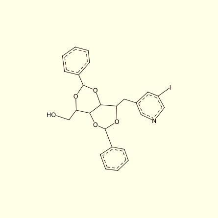 OCC1OC(c2ccccc2)OC2C(Cc3cncc(I)c3)OC(c3ccccc3)OC12